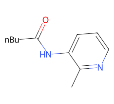 CCCCC(=O)Nc1cccnc1C